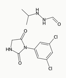 CC(C)NNC=O.O=C1CNC(=O)N1c1cc(Cl)cc(Cl)c1